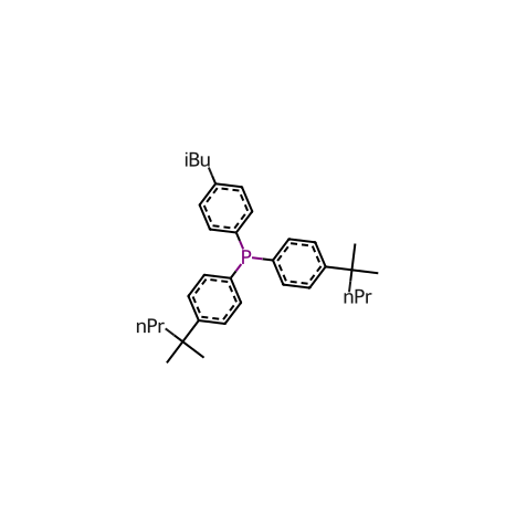 CCCC(C)(C)c1ccc(P(c2ccc(C(C)CC)cc2)c2ccc(C(C)(C)CCC)cc2)cc1